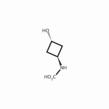 O=C(O)N[C@H]1C[C@H](O)C1